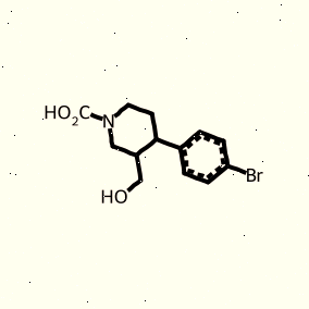 O=C(O)N1CCC(c2ccc(Br)cc2)C(CO)C1